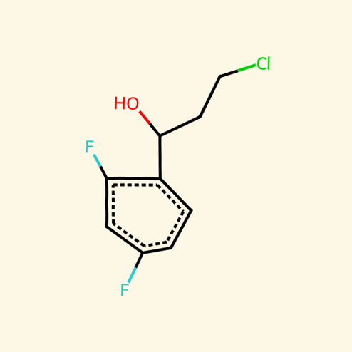 OC(CCCl)c1ccc(F)cc1F